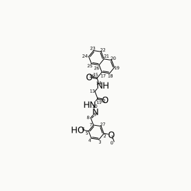 COc1ccc(O)c(C=NNC(=O)CNC(=O)c2cccc3ccccc23)c1